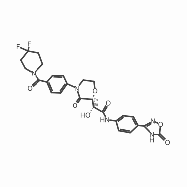 O=C(Nc1ccc(-c2noc(=O)[nH]2)cc1)[C@H](O)[C@H]1OCCN(c2ccc(C(=O)N3CCC(F)(F)CC3)cc2)C1=O